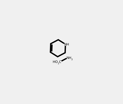 C1=CCNCC1.NC(=O)O